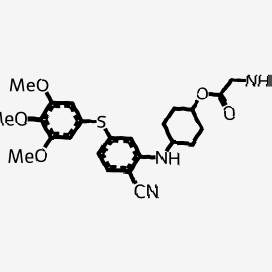 COc1cc(Sc2ccc(C#N)c(NC3CCC(OC(=O)CN)CC3)c2)cc(OC)c1OC